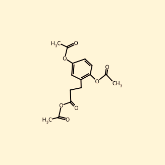 CC(=O)OC(=O)CCc1cc(OC(C)=O)ccc1OC(C)=O